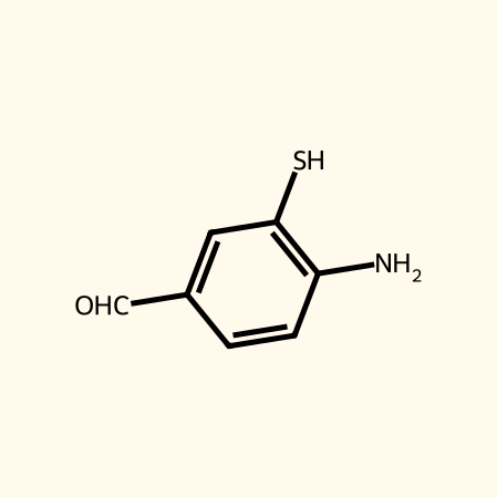 Nc1ccc(C=O)cc1S